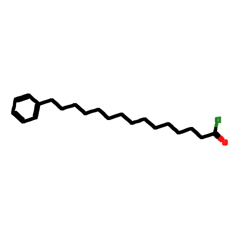 O=C(Cl)CCCCCCCCCCCCCCc1ccccc1